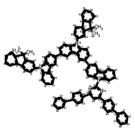 CC1(C)c2ccccc2-c2ccc(-n3c4ccccc4c4cc(-c5ccc6c(c5)c5cc(-c7ccc8c(c7)c7ccccc7n8-c7nc(-c8ccc(-c9ccccc9)cc8)cc(-c8ccc(-c9ccccc9)cc8)n7)ccc5n6-c5ccc6c(c5)C(C)(C)c5ccccc5-6)ccc43)cc21